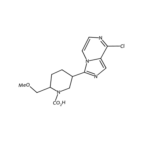 COCC1CCC(c2ncc3c(Cl)nccn23)CN1C(=O)O